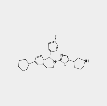 Fc1ccc([C@H]2c3ccc(C4CCCCC4)cc3CCN2C2=NC[C@@H]([C@H]3CCCNC3)O2)cc1